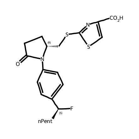 CCCCC[C@H](F)c1ccc(N2C(=O)CC[C@@H]2CSc2nc(C(=O)O)cs2)cc1